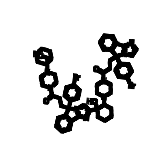 O=C(CCC1(c2ccc(Br)cc2)c2ccccc2-c2nc(C3(O)CCCCC3N3CCN(C(=O)CCC4(c5ccc(Br)cc5)c5ccccc5-c5nccn54)CC3)cn21)N1CCN(C2CN3CCC2CC3)CC1